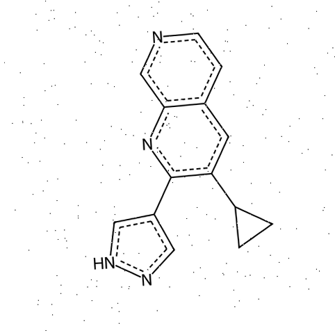 c1cc2cc(C3CC3)c(-c3cn[nH]c3)nc2cn1